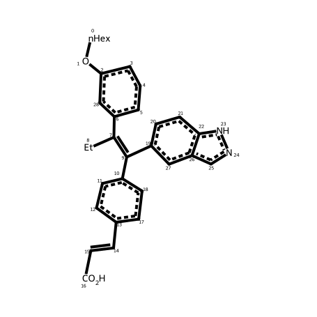 CCCCCCOc1cccc(C(CC)=C(c2ccc(C=CC(=O)O)cc2)c2ccc3[nH]ncc3c2)c1